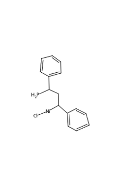 PC(C[CH]([Ni][Cl])c1ccccc1)c1ccccc1